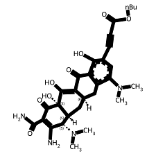 CCCCOC(=O)C#Cc1cc(N(C)C)c2c(c1O)C(=O)C1=C(O)[C@]3(O)C(=O)C(C(N)=O)=C(N)[C@@H](N(C)C)[C@@H]3C[C@@H]1C2